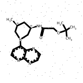 C[C@H]1C[C@@H](NC(=O)COC(C)(C)C)CN(c2ccnc3nccnc23)C1